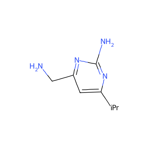 CC(C)c1cc(CN)nc(N)n1